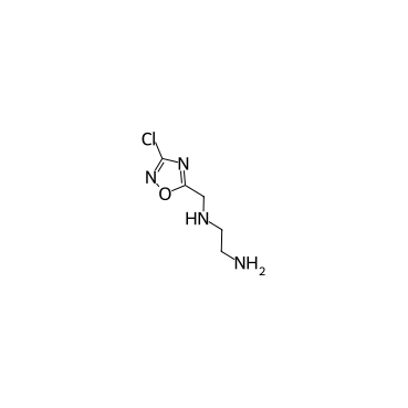 NCCNCc1nc(Cl)no1